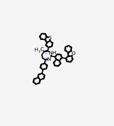 C/C1=C(\c2ccc3sc4ccccc4c3c2)NC(c2ccc(-c3cccc4oc5ccccc5c34)c3ccccc23)/N=C(/c2ccc(-c3ccc4ccccc4c3)cc2)CC1